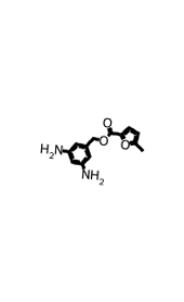 Cc1ccc(C(=O)OCc2cc(N)cc(N)c2)o1